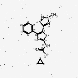 C1CC1.Cn1nnc(-c2sc(NC(=O)O)nc2-c2ccccc2)n1